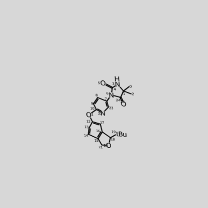 CC1(C)NC(=O)N(c2ccc(Oc3ccc4c(c3)C(C(C)(C)C)OC4)nc2)C1=O